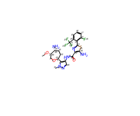 CO[C@H]1CO[C@H](c2c(NC(=O)c3nc(-c4c(F)cccc4C(F)(F)F)sc3N)cnn2C)CC[C@H]1N